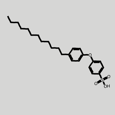 CCCCCCCCCCCCc1ccc(Oc2ccc(S(=O)(=O)O)cc2)cc1